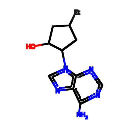 [CH2]CC1CC(O)C(n2cnc3c(N)ncnc32)C1